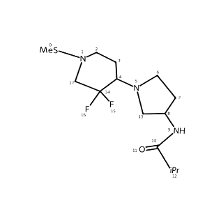 CSN1CCC(N2CCC(NC(=O)C(C)C)C2)C(F)(F)C1